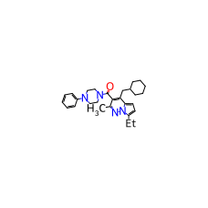 CCc1ccc2c(CC3CCCCC3)c(C(=O)N3CCN(c4ccccc4)CC3)c(C)nn12